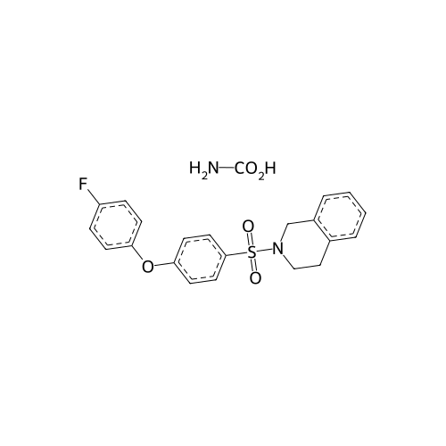 NC(=O)O.O=S(=O)(c1ccc(Oc2ccc(F)cc2)cc1)N1CCc2ccccc2C1